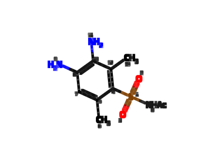 CC(=O)NS(=O)(=O)c1c(C)cc(N)c(N)c1C